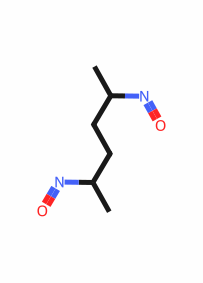 CC(CCC(C)N=O)N=O